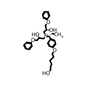 CC[C@H](c1ccc(OCCCCCCO)cc1)N(C[C@H](O)COc1ccccc1)C[C@H](O)COc1ccccc1